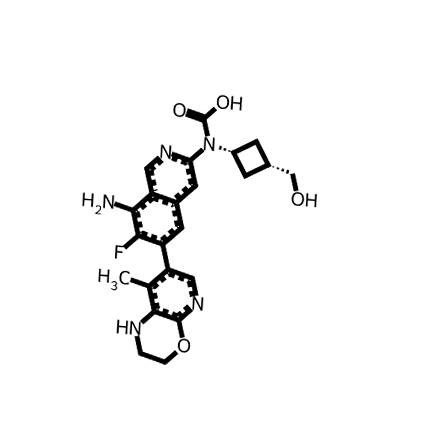 Cc1c(-c2cc3cc(N(C(=O)O)[C@H]4C[C@@H](CO)C4)ncc3c(N)c2F)cnc2c1NCCO2